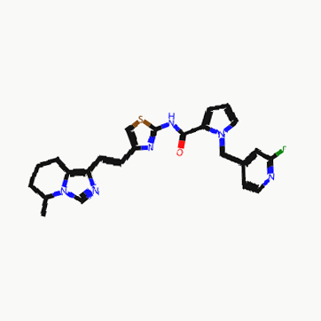 CC1CCCc2c(/C=C/c3csc(NC(=O)c4cccn4Cc4ccnc(F)c4)n3)ncn21